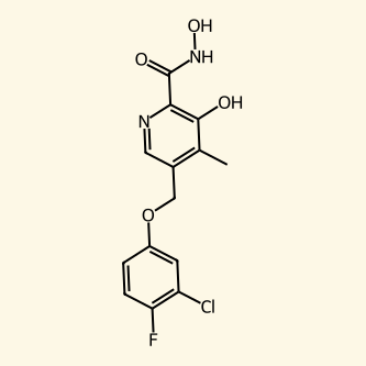 Cc1c(COc2ccc(F)c(Cl)c2)cnc(C(=O)NO)c1O